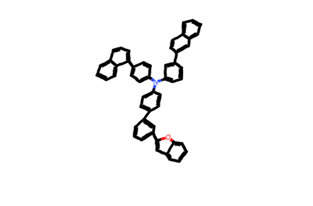 c1cc(-c2ccc(N(c3ccc(-c4cccc5ccccc45)cc3)c3cccc(-c4ccc5ccccc5c4)c3)cc2)cc(-c2cc3ccccc3o2)c1